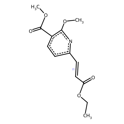 CCOC(=O)/C=C/c1ccc(C(=O)OC)c(OC)n1